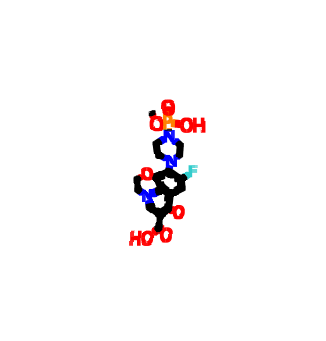 COP(=O)(O)N1CCN(c2c(F)cc3c(=O)c(C(=O)O)cn4c3c2OCC4)CC1